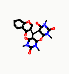 Cn1c2c(c(=O)n(C)c1=O)C(c1coc3ccccc3c1=O)c1c(n(C)c(=O)n(C)c1=O)O2